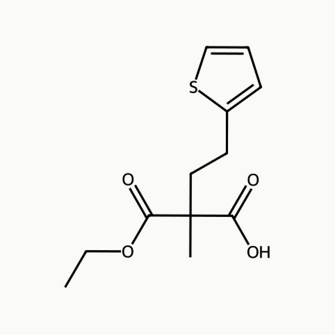 CCOC(=O)C(C)(CCc1cccs1)C(=O)O